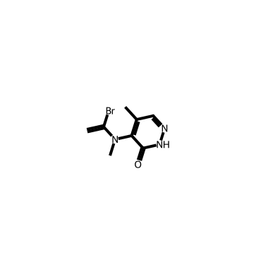 C=C(Br)N(C)c1c(C)cn[nH]c1=O